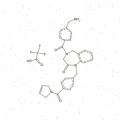 NCc1ccc(C(=O)N2CC(=O)N(Cc3ccc(C(=O)N4CC=CC4)cc3)c3ccccc3C2)cc1.O=C(O)C(F)(F)F